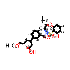 COCCCC(CC(=O)O)c1ccc(C)c(CN2CC(C)Oc3ccccc3S2(O)O)c1